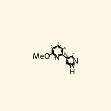 COc1c[c]cc(-c2cn[nH]c2)n1